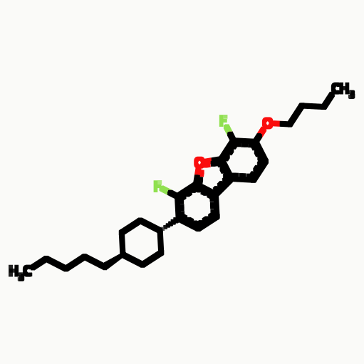 CCCCC[C@H]1CC[C@H](c2ccc3c(oc4c(F)c(OCCCC)ccc43)c2F)CC1